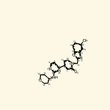 O=c1cc(-c2ccnc(NC3CCOCC3)n2)ccn1Cc1nc2cc(Cl)ccc2o1